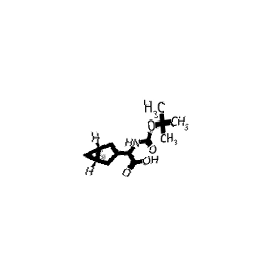 CC(C)(C)OC(=O)NC(C(=O)O)C1C[C@@H]2C[C@@H]2C1